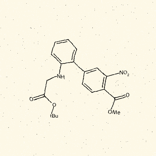 COC(=O)c1ccc(-c2ccccc2NCC(=O)OC(C)(C)C)cc1[N+](=O)[O-]